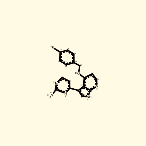 Nc1nccc(-c2c[nH]c3nccc(OCc4ccc(F)cc4)c23)n1